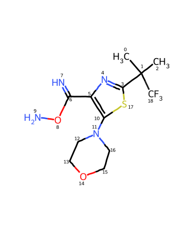 CC(C)(c1nc(C(=N)ON)c(N2CCOCC2)s1)C(F)(F)F